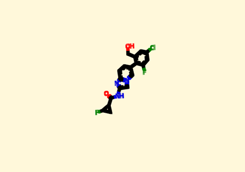 O=C(Nc1cn2cc(-c3c(F)cc(Cl)cc3CO)ccc2n1)C1CC1F